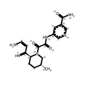 C[C@@H]1CC[C@@H](C(=N)/C=C\N)N(C(=O)C(=O)Nc2cncc(C(N)=O)c2)C1